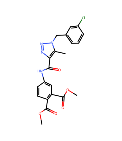 COC(=O)c1ccc(NC(=O)c2nnn(Cc3cccc(Cl)c3)c2C)cc1C(=O)OC